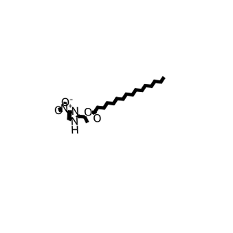 CCCCCCCCCCCCCCCC(=O)OC(C)c1nc([N+](=O)[O-])c[nH]1